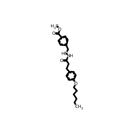 CCCCCCOc1ccc(CCC(=O)NNCc2ccc(C(=O)OC)cc2)cc1